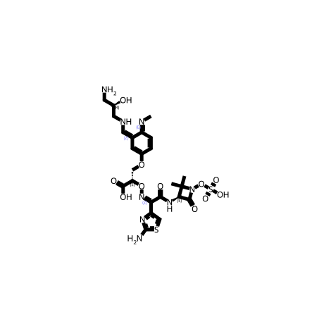 C/N=C1\C=CC(OC[C@H](O/N=C(\C(=O)N[C@@H]2C(=O)N(OS(=O)(=O)O)C2(C)C)c2csc(N)n2)C(=O)O)=C\C1=C\NC[C@H](O)CN